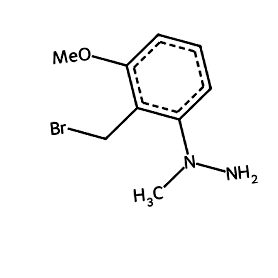 COc1cccc(N(C)N)c1CBr